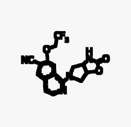 N#Cc1cc2ccnc(N3CC4NC(=O)OC4C3)c2cc1OCC(F)(F)F